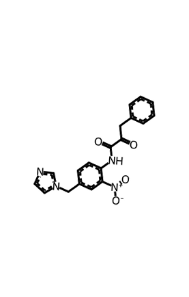 O=C(Cc1ccccc1)C(=O)Nc1ccc(Cn2ccnc2)cc1[N+](=O)[O-]